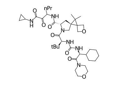 CCCC(NC(=O)[C@@H]1C[C@@]2(CN1C(=O)[C@@H](NC(=O)N[C@H](C(=O)N1CCOCC1)C1CCCCC1)C(C)(C)C)C(C)(C)C21COC1)C(=O)C(=O)NC1CC1